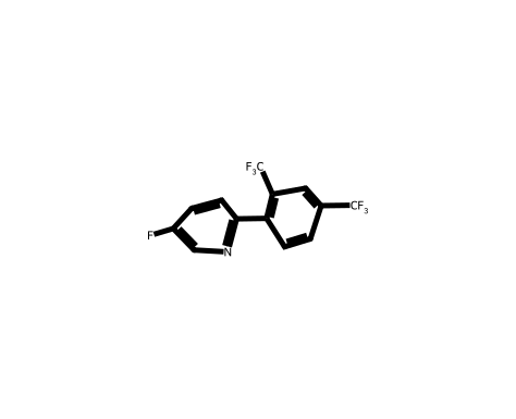 Fc1ccc(-c2ccc(C(F)(F)F)cc2C(F)(F)F)nc1